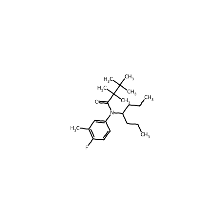 CCCC(CCC)N(C(=O)C(C)(C)C(C)(C)C)c1ccc(F)c(C)c1